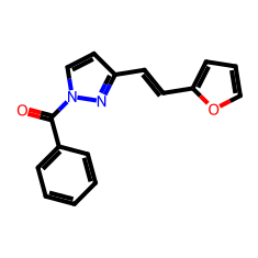 O=C(c1ccccc1)n1ccc(C=Cc2ccco2)n1